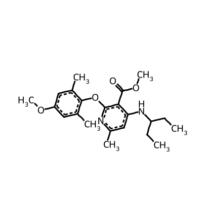 CCC(CC)Nc1cc(C)nc(Oc2c(C)cc(OC)cc2C)c1C(=O)OC